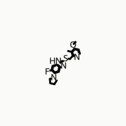 COc1ccnc(CSc2nc3cc(N4CCCC4)c(F)cc3[nH]2)c1C